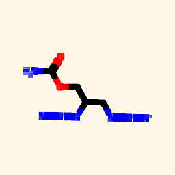 [N-]=[N+]=NCC(COC(N)=O)N=[N+]=[N-]